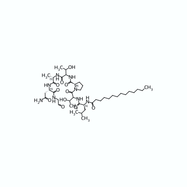 CCCCCCCCCCCCCC(=O)N[C@@H](CC(C)C)C(=O)NC(C(=O)N1CCC[C@@H]1C(=O)NC(C(=O)N[C@@H](C)C(=O)N[C@@H](CC(N)=O)C(=O)NCC=O)C(C)O)C(C)O